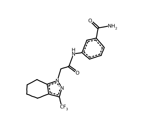 NC(=O)c1cccc(NC(=O)Cn2nc(C(F)(F)F)c3c2CCCC3)c1